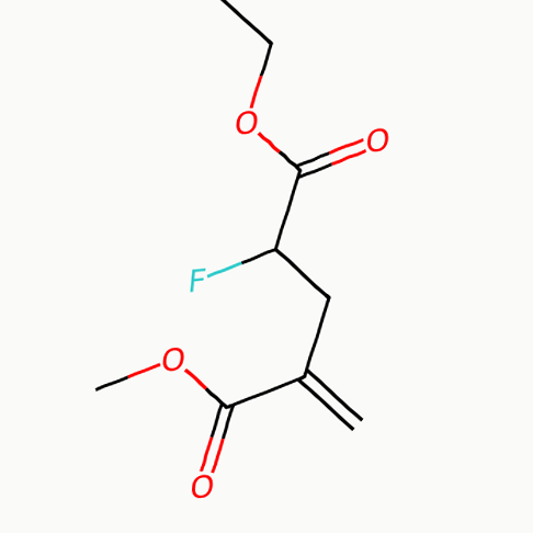 C=C(CC(F)C(=O)OCC)C(=O)OC